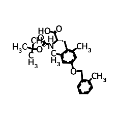 Cc1ccccc1COc1cc(C)c(C[C@H](NC(=O)OC(C)(C)C)C(=O)O)c(C)c1